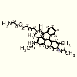 CC/N=c1/cc2oc3cc(NCC)c(C)cc3c(-c3ccccc3C(=O)NCCOCCOCCN)c-2cc1C